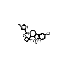 CCOC(=O)C1(C2c3[nH]c4ccc(Cl)cc4c3CCN2C(=O)c2cn(C)cn2)CCC1